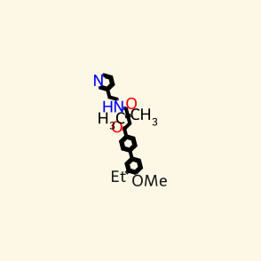 CCc1cc(-c2ccc(C(=O)CC(C)(C)C(=O)NCCc3cccnc3)cc2)ccc1OC